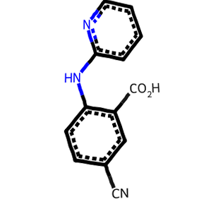 N#Cc1ccc(Nc2ccccn2)c(C(=O)O)c1